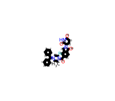 C[C@@H]1CN(C(c2ccccc2)c2ccccc2)CCN1C(=O)c1ccc2c(c1F)CN(C1CCC(=O)NC1=O)C2=O